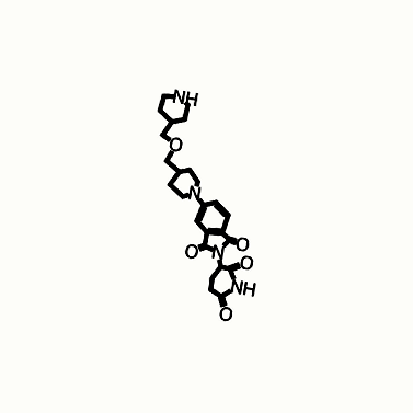 O=C1CCC(N2C(=O)c3ccc(N4CCC(COCC5CCNCC5)CC4)cc3C2=O)C(=O)N1